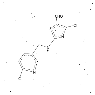 O=Cc1sc(NCc2ccc(Cl)nc2)nc1Cl